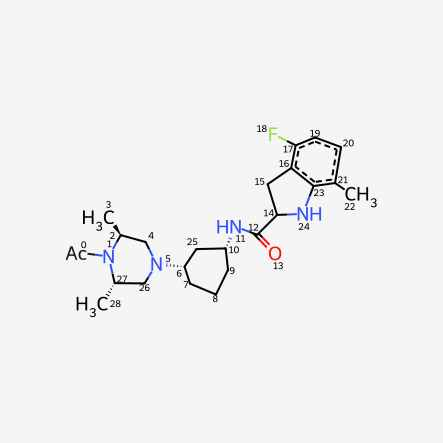 CC(=O)N1[C@@H](C)CN([C@H]2CCC[C@@H](NC(=O)C3Cc4c(F)ccc(C)c4N3)C2)C[C@@H]1C